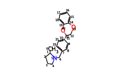 CC1CCCN1Cc1ccc([C@H]2COc3ccccc3O2)cc1